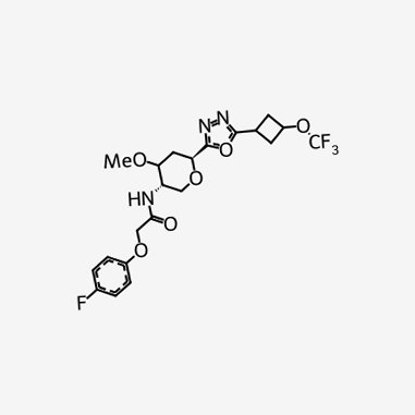 COC1C[C@@H](c2nnc(C3CC(OC(F)(F)F)C3)o2)OC[C@@H]1NC(=O)COc1ccc(F)cc1